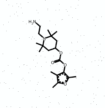 Cc1oc(C)c(OC(=O)OC2CC(C)(C)N(CCN)C(C)(C)C2)c1C